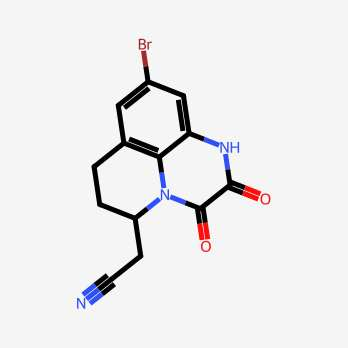 N#CCC1CCc2cc(Br)cc3[nH]c(=O)c(=O)n1c23